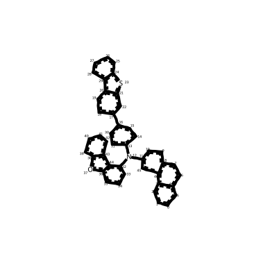 c1ccc2c(c1)ccc1ccc(N(c3ccc(-c4ccc5c(c4)sc4ccccc45)cc3)c3cccc4oc5ccccc5c34)cc12